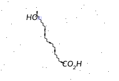 C#CC(O)/C=C/CCCCCC#CC#CCCCC#CCCCC#CCCCCCC#CC(=O)O